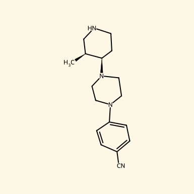 C[C@H]1CNCC[C@H]1N1CCN(c2ccc(C#N)cc2)CC1